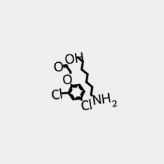 CCCCCCCN.O=C(O)COc1ccc(Cl)cc1Cl